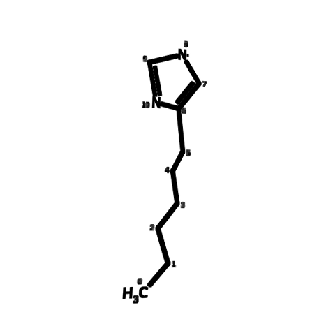 CCCCCCC1=C[N]C=N1